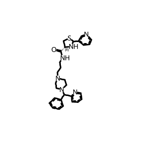 O=C(NCCCN1CCN(C(c2ccccc2)c2ccccn2)CC1)[C@@H]1CSC(c2cccnc2)N1